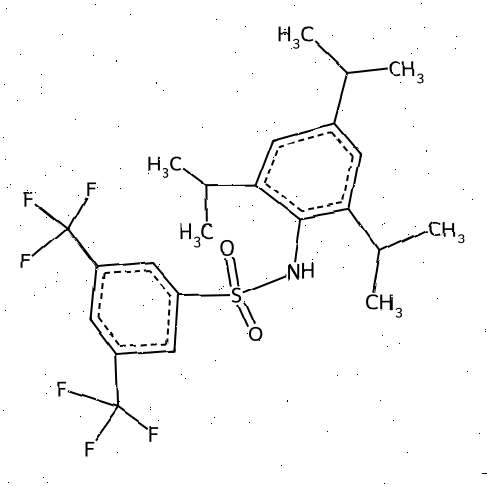 CC(C)c1cc(C(C)C)c(NS(=O)(=O)c2cc(C(F)(F)F)cc(C(F)(F)F)c2)c(C(C)C)c1